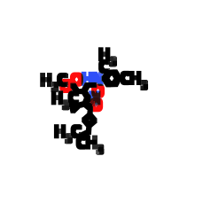 COC(=O)C(C)C(CC(=O)Nc1ccc(C)cc1C)c1noc(C2CC(CC(C)C)C2)c1C1CC1